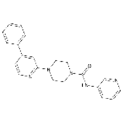 O=C(Nc1cccnc1)N1CCN(c2cc(-c3ccccc3)ccn2)CC1